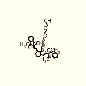 C#CCOCCOCCOCCSC1=C(C=CC2=[N+](C)c3ccccc3C2(C)C)CCCC1=CC=C1N(C)c2ccccc2C1(C)C